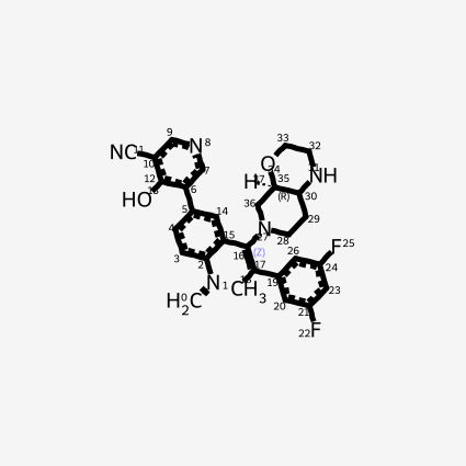 C=Nc1ccc(-c2cncc(C#N)c2O)cc1/C(=C(\C)c1cc(F)cc(F)c1)N1CCC2NCCO[C@@H]2C1